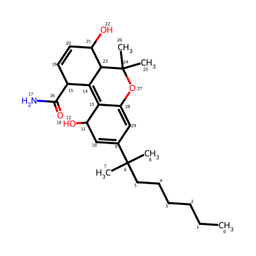 CCCCCCC(C)(C)C1=CC(O)C2=C3C(C(N)=O)C=CC(O)C3C(C)(C)OC2=C1